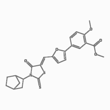 COC(=O)c1cc(-c2ccc(C=C3SC(=S)N(C4CC5CCC4C5)C3=O)o2)ccc1OC